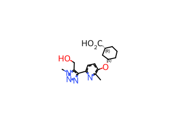 Cc1nc(-c2nnn(C)c2CO)ccc1O[C@H]1CCC[C@@H](C(=O)O)C1